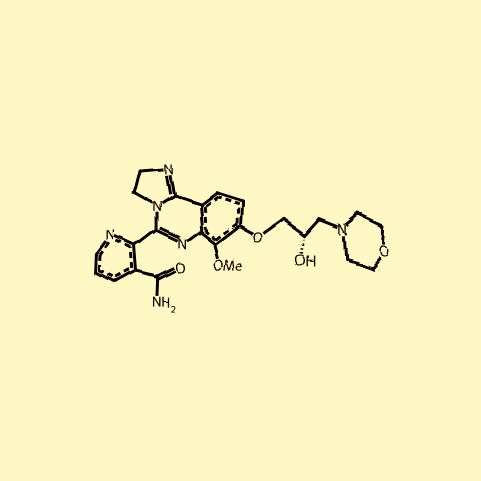 COc1c(OC[C@@H](O)CN2CCOCC2)ccc2c1N=C(c1ncccc1C(N)=O)N1CCN=C21